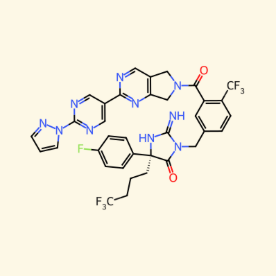 N=C1N[C@](CCCC(F)(F)F)(c2ccc(F)cc2)C(=O)N1Cc1ccc(C(F)(F)F)c(C(=O)N2Cc3cnc(-c4cnc(-n5cccn5)nc4)nc3C2)c1